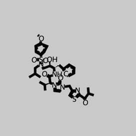 COc1ccc(S(=O)(=O)N(CC(C)C)C[C@@H](O)[C@H](Cc2ccccc2)NC(=O)[C@H](C(C)C)n2ccn(Cc3csc(C(=O)C(C)C)n3)c2=O)cc1